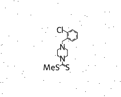 CSC(=S)N1CCN(Cc2ccccc2Cl)CC1